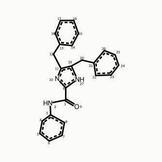 O=C(Nc1ccccc1)c1nc(Cc2ccccc2)c(Cc2ccccc2)[nH]1